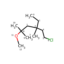 CCC(C)(CCCl)CC(C)(C)OC